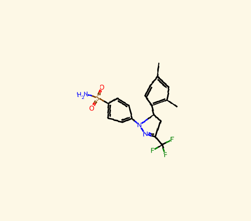 Cc1ccc(C2CC(C(F)(F)F)=NN2c2ccc(S(N)(=O)=O)cc2)c(C)c1